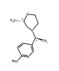 CSc1ccc([C@H](C)N2CCO[C@@H](C)C2)cn1